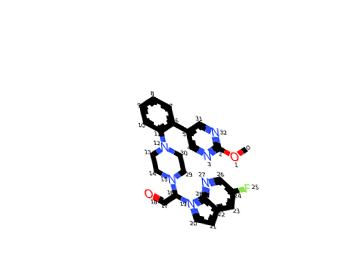 COc1ncc(-c2ccccc2N2CCN(C(C=O)n3ccc4cc(F)cnc43)CC2)cn1